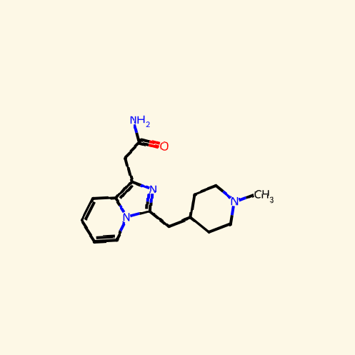 CN1CCC(Cc2nc(CC(N)=O)c3ccccn23)CC1